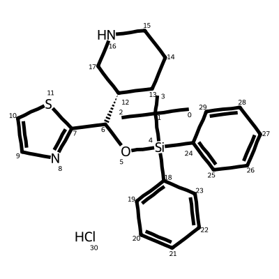 CC(C)(C)[Si](OC(c1nccs1)[C@H]1CCCNC1)(c1ccccc1)c1ccccc1.Cl